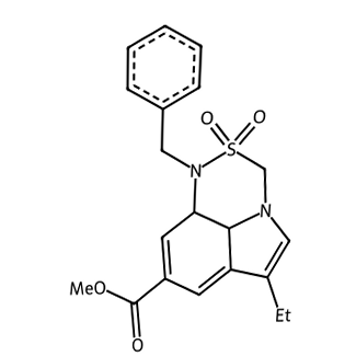 CCC1=CN2CS(=O)(=O)N(Cc3ccccc3)C3C=C(C(=O)OC)C=C1C32